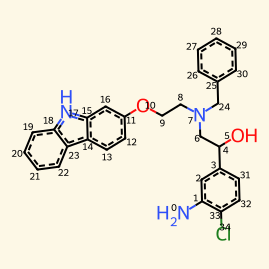 Nc1cc(C(O)CN(CCOc2ccc3c(c2)[nH]c2ccccc23)Cc2ccccc2)ccc1Cl